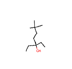 CCC(O)(CC)CCC(C)(C)C